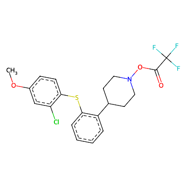 COc1ccc(Sc2ccccc2C2CCN(OC(=O)C(F)(F)F)CC2)c(Cl)c1